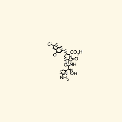 Nc1nc(C(=NO)C(=O)NC2C(=O)N3C(C(=O)O)=C(Sc4cc(=O)c5cc(Cl)sc5s4)CS[C@@H]23)cs1